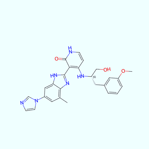 COc1cccc(C[C@@H](CO)Nc2cc[nH]c(=O)c2-c2nc3c(C)cc(-n4ccnc4)cc3[nH]2)c1